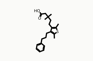 Cc1sc(C)c(CCC(C)(C)CC(=O)O)c1CCCc1ccccc1